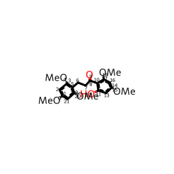 COc1cc(OC)c(CCC(=O)c2c(O)cc(OC)cc2OC)c(OC)c1